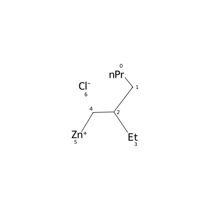 CCCCC(CC)[CH2][Zn+].[Cl-]